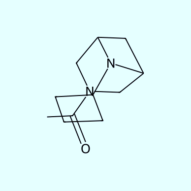 CC(=O)N1CC2CC(C1)N2C1CCC1